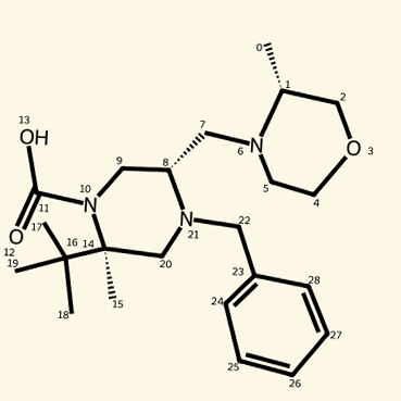 C[C@@H]1COCCN1C[C@H]1CN(C(=O)O)[C@](C)(C(C)(C)C)CN1Cc1ccccc1